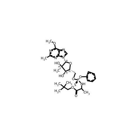 COc1nc(C)nc2c1ncn2[C@@H]1O[C@H](COP(=S)(NC(C)C(=O)OCC(C)(C)C)Oc2ccccc2)[C@@H](O)[C@@]1(C)O